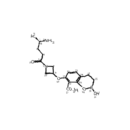 CC(=O)[C@@H](N)CCC(=O)N1CC(Oc2ccc3c(c2C(=O)O)OB(O)CC3)C1